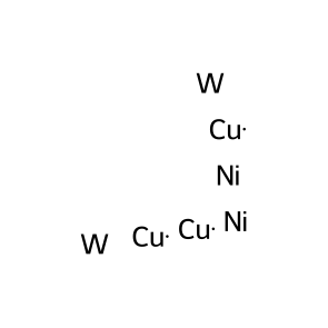 [Cu].[Cu].[Cu].[Ni].[Ni].[W].[W]